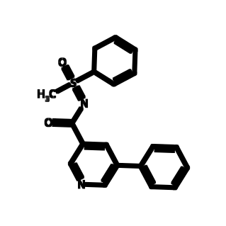 CS(=O)(=NC(=O)c1cncc(-c2ccccc2)c1)C1C=CC=CC1